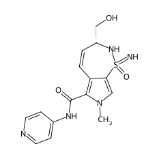 Cn1cc2c(c1C(=O)Nc1ccncc1)C=C[C@H](CO)NS2(=N)=O